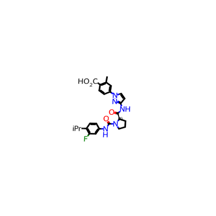 Cc1cc(-n2ccc(NC(=O)[C@H]3CCCN3C(=O)Nc3ccc(C(C)C)c(F)c3)n2)ccc1C(=O)O